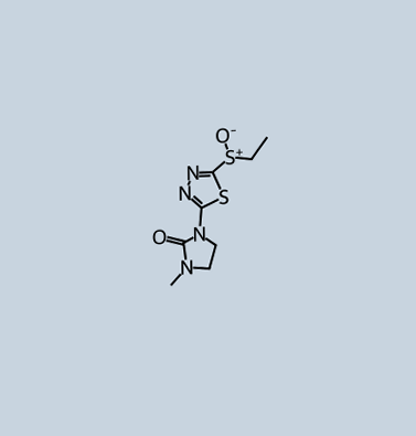 CC[S+]([O-])c1nnc(N2CCN(C)C2=O)s1